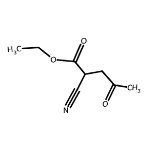 CCOC(=O)C(C#N)CC(C)=O